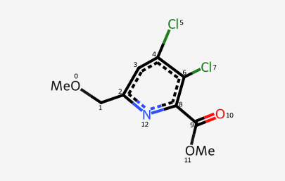 COCc1cc(Cl)c(Cl)c(C(=O)OC)n1